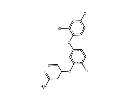 NC(=O)CC(C=S)Oc1cc(Oc2ccc(Cl)cc2Cl)ccc1Cl